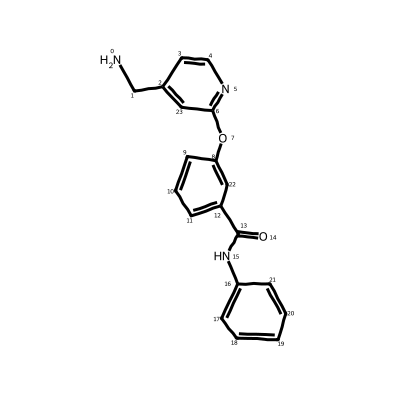 NCc1ccnc(Oc2cccc(C(=O)Nc3ccccc3)c2)c1